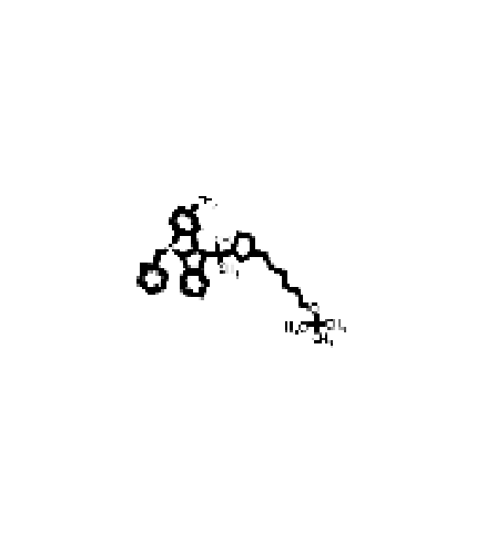 Cc1ccc2c(c1)C1C(c3ccccc3C1C(C)(C)C1CCC(CCCCCCOC(C)(C)C)C1)N2Cc1ccccc1